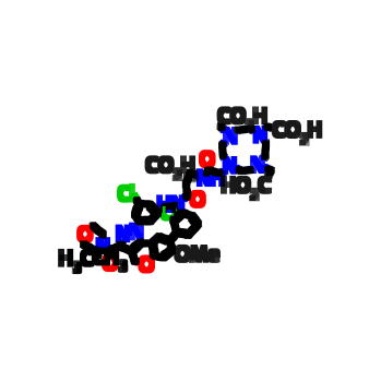 COc1cc2c(cc1-c1cccc(NC(=O)C[C@@H](NC(=O)CN3CCN(CC(=O)O)CCN(CC(=O)O)CCN(CC(=O)O)CC3)C(=O)O)c1)-c1c(c(C(=O)N3CCOCC3(C)C)nn1-c1cc(Cl)cc(Cl)c1)CO2